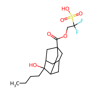 CCCCC1(O)C2CC3CC1CC(C(=O)OCC(F)(F)S(=O)(=O)O)(C3)C2